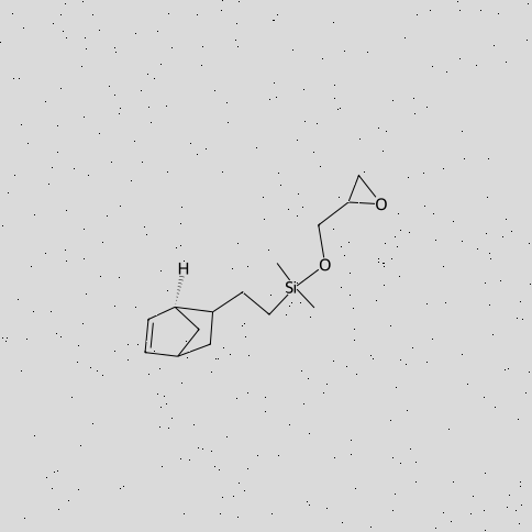 C[Si](C)(CCC1CC2C=C[C@@H]1C2)OCC1CO1